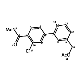 CNC(=O)c1ccc(-c2cc(COC(C)=O)ccn2)cc1Cl